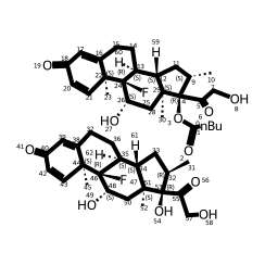 CCCCC(=O)O[C@]1(C(=O)CO)[C@@H](C)C[C@H]2[C@@H]3CCC4=CC(=O)C=C[C@]4(C)[C@@]3(F)[C@@H](O)C[C@@]21C.C[C@@H]1C[C@H]2[C@@H]3CCC4=CC(=O)C=C[C@]4(C)[C@@]3(F)[C@@H](O)C[C@]2(C)[C@@]1(O)C(=O)CO